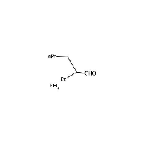 CCCCC(C=O)CC.P